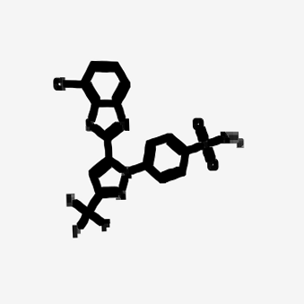 NS(=O)(=O)c1ccc(-n2nc(C(F)(F)F)cc2-c2nc3cccc(Cl)c3s2)cc1